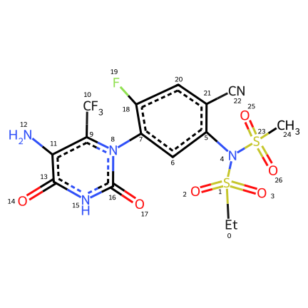 CCS(=O)(=O)N(c1cc(-n2c(C(F)(F)F)c(N)c(=O)[nH]c2=O)c(F)cc1C#N)S(C)(=O)=O